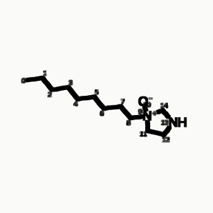 CCCCCCCCC[N+]1([O-])CCNC1